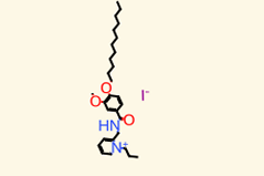 CCCCCCCCCCCCOc1ccc(C(=O)NCc2cccc[n+]2CCC)cc1OC.[I-]